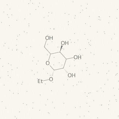 CCO[C@@H]1OC(CO)[C@@H](O)C(O)[C@@H]1O